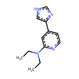 CCN(CC)c1cc(-c2c[nH]cn2)ccn1